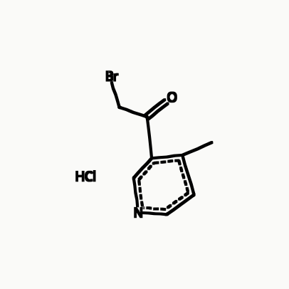 Cc1ccncc1C(=O)CBr.Cl